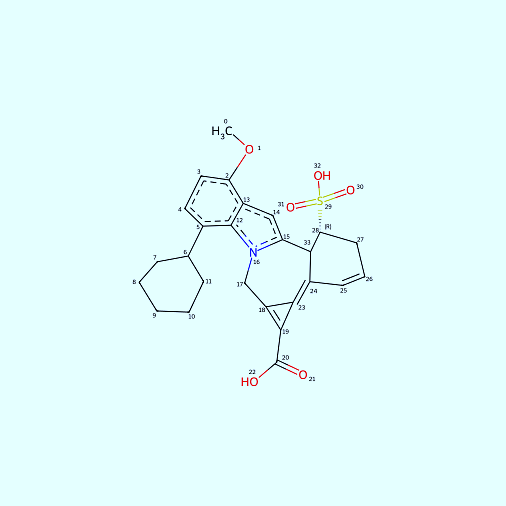 COc1ccc(C2CCCCC2)c2c1cc1n2CC2=C(C(=O)O)C2=C2C=CC[C@@H](S(=O)(=O)O)C21